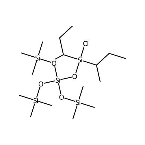 CCC(C)[Si](Cl)(O[Si](O[Si](C)(C)C)(O[Si](C)(C)C)O[Si](C)(C)C)C(C)CC